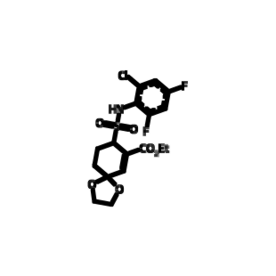 CCOC(=O)C1=CC2(CCC1S(=O)(=O)Nc1c(F)cc(F)cc1Cl)OCCO2